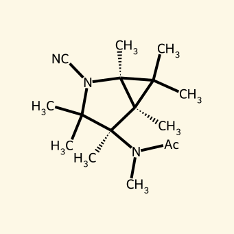 CC(=O)N(C)[C@@]1(C)C(C)(C)N(C#N)[C@@]2(C)C(C)(C)[C@@]12C